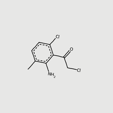 Cc1ccc(Cl)c(C(=O)CCl)c1N